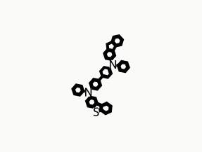 C1=C(c2ccc(N(c3ccccc3)c3ccc4sc5ccccc5c4c3)cc2)CCC(N(c2ccccc2)c2ccc3c(c2)-c2ccccc2C3)=C1